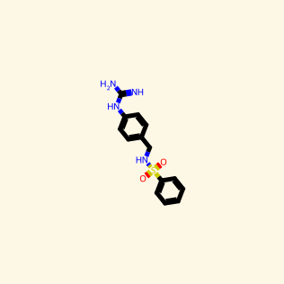 N=C(N)Nc1ccc(CNS(=O)(=O)c2ccccc2)cc1